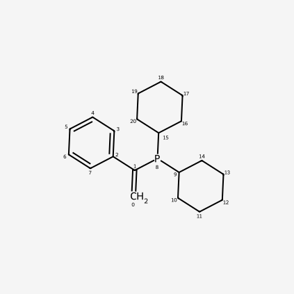 C=C(c1ccccc1)P(C1CCCCC1)C1CCCCC1